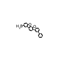 Bc1ccc2oc3c(ccc4c5cc(-c6ccccc6)ccc5oc43)c2c1